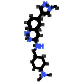 CN(C)C1CCC(CNc2cc3cc(-c4cnn(C)c4)ccc3nn2)CC1